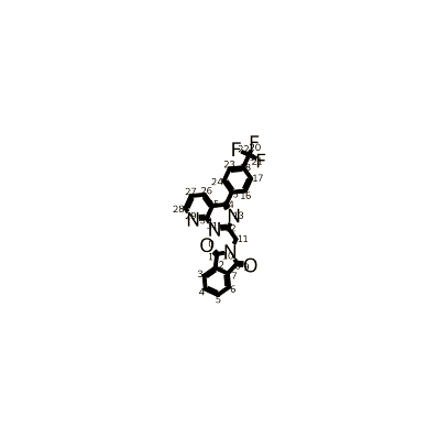 O=C1c2ccccc2C(=O)N1Cc1nc(-c2ccc(C(F)(F)F)cc2)c2cccnc2n1